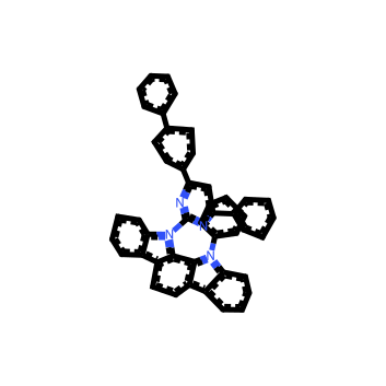 c1ccc(-c2ccc(-c3cc(-c4ccccc4)nc(-n4c5ccccc5c5ccc6c7ccccc7n(-c7ccccc7)c6c54)n3)cc2)cc1